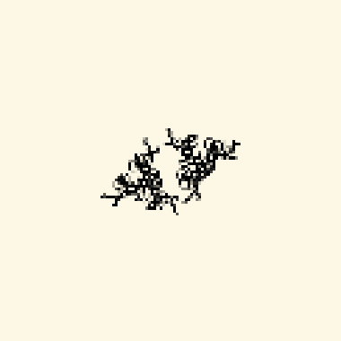 CCCCC(CC)COc1cc(OC)c(-c2c(C)c(-c3cc(C(=O)OC)c(OCC(CC)CCCC)cc3OC)c(C)c(-c3c(C)c(C(=O)O)c(OCC(CC)CCCC)c(C)c3OC)c2C)cc1C(=O)O.CCCCC(CC)COc1cc(OC)c(-c2c(C)c(-c3cc(C(=O)OC)c(OCC(CC)CCCC)cc3OC)c(C)c(-c3cc(C(=O)OC)c(OCC(CC)CCCC)cc3OC)c2C)cc1C(=O)OC